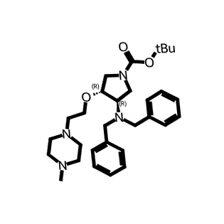 CN1CCN(CCO[C@@H]2CN(C(=O)OC(C)(C)C)C[C@H]2N(Cc2ccccc2)Cc2ccccc2)CC1